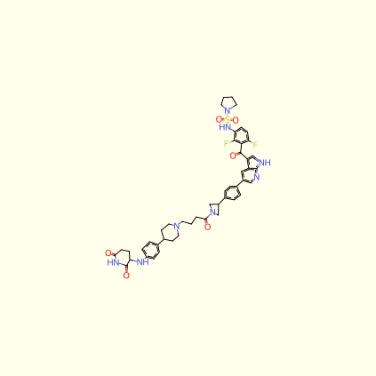 O=C1CCC(Nc2ccc(C3CCN(CCCC(=O)N4CC(c5ccc(-c6cnc7[nH]cc(C(=O)c8c(F)ccc(NS(=O)(=O)N9CCCC9)c8F)c7c6)cc5)C4)CC3)cc2)C(=O)N1